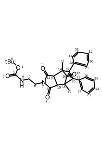 CC(C)(C)OC(=O)NCCN1C(=O)C2C(C1=O)C1(C)C(=O)C2(C)C(c2ccccc2)=C1c1ccccc1